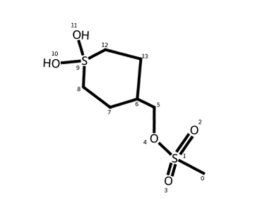 CS(=O)(=O)OCC1CCS(O)(O)CC1